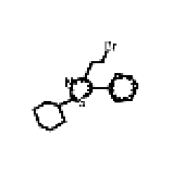 BrCCc1nc(C2CCCCC2)sc1-c1ccccc1